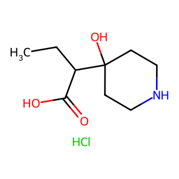 CCC(C(=O)O)C1(O)CCNCC1.Cl